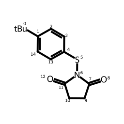 CC(C)(C)c1ccc(SN2C(=O)CCC2=O)cc1